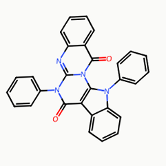 O=c1c2c3ccccc3n(-c3ccccc3)c2n2c(=O)c3ccccc3nc2n1-c1ccccc1